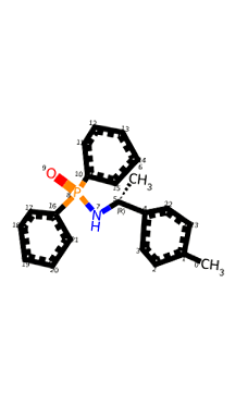 Cc1ccc([C@@H](C)NP(=O)(c2ccccc2)c2ccccc2)cc1